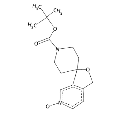 CC(C)(C)OC(=O)N1CCC2(CC1)OCc1cc[n+]([O-])cc12